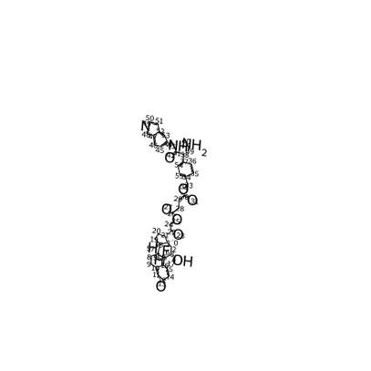 C[C@]12C[C@H](O)[C@@]3(F)[C@@H](CCC4=CC(=O)C=C[C@@]43C)[C@@H]1CC[C@@H]2C(=O)COC(=O)CCC(=O)OCc1ccc([C@@H](CN)C(=O)Nc2ccc3cnccc3c2)cc1